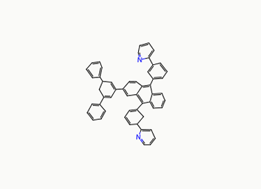 C1=CC(c2ccccn2)CC(c2c3ccccc3c(-c3cccc(-c4ccccn4)c3)c3ccc(C4=CC(c5ccccc5)CC(c5ccccc5)=C4)cc23)=C1